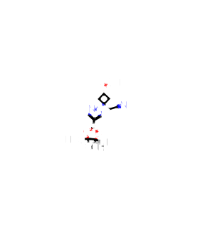 CO[C@H]1C[C@@](CC#N)(n2cc(B3OC(C)(C)C(C)(C)O3)cn2)C1